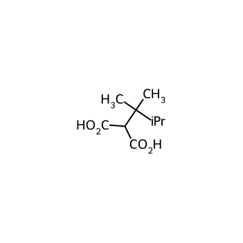 CC(C)C(C)(C)C(C(=O)O)C(=O)O